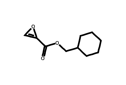 O=C(OCC1CCCCC1)C1=CO1